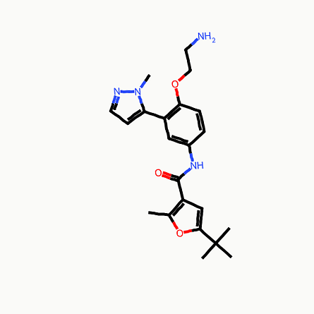 Cc1oc(C(C)(C)C)cc1C(=O)Nc1ccc(OCCN)c(-c2ccnn2C)c1